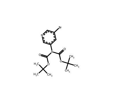 CC(C)(C)OC(=O)N(C(=O)OC(C)(C)C)c1cncc(Br)c1